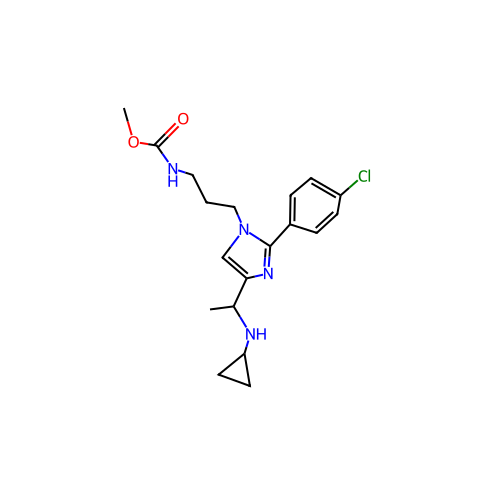 COC(=O)NCCCn1cc(C(C)NC2CC2)nc1-c1ccc(Cl)cc1